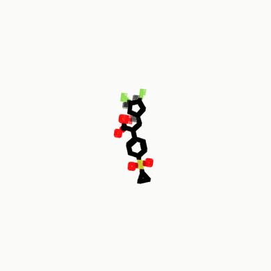 O=C(O)C(C[C@H]1C[C@@H](F)[C@@H](F)C1)C1=CCC(S(=O)(=O)C2CC2)C=C1